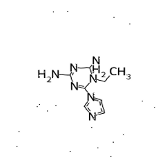 CCN1C(n2ccnc2)=NC(N)=NC1N